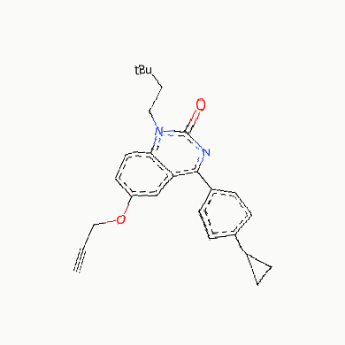 C#CCOc1ccc2c(c1)c(-c1ccc(C3CC3)cc1)nc(=O)n2CCC(C)(C)C